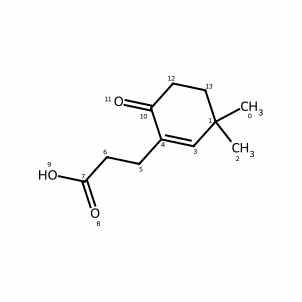 CC1(C)C=C(CCC(=O)O)C(=O)CC1